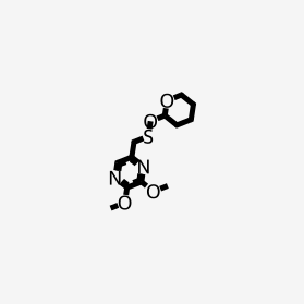 COc1ncc(CSOC2CCCCO2)nc1OC